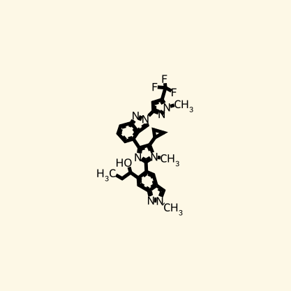 CCC(O)c1cc2nn(C)cc2cc1-c1nc(-c2cccc3nn(-c4cc(C(F)(F)F)n(C)n4)cc23)c(C2CC2)n1C